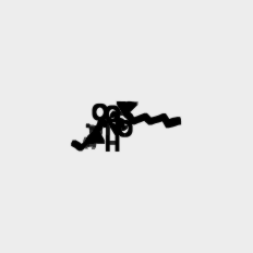 C=CCCCCC1(S(=O)(=O)NC(=O)[C@@]2(C)C[C@H]2CC)CC1